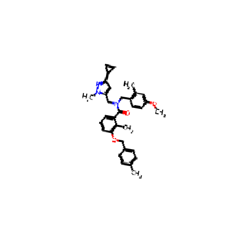 COc1ccc(CN(Cc2cc(C3CC3)nn2C)C(=O)c2cccc(OCc3ccc(C)cc3)c2C)c(C)c1